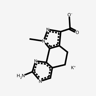 Cn1nc(C(=O)[O-])c2c1-c1nc(N)ncc1CC2.[K+]